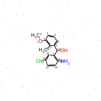 COc1cccc(C(O)c2cc(Cl)ccc2N)c1C